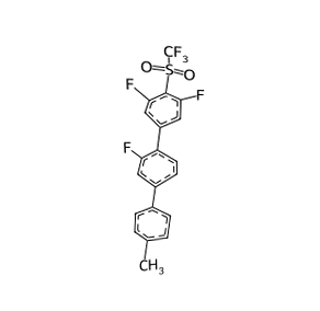 Cc1ccc(-c2ccc(-c3cc(F)c(S(=O)(=O)C(F)(F)F)c(F)c3)c(F)c2)cc1